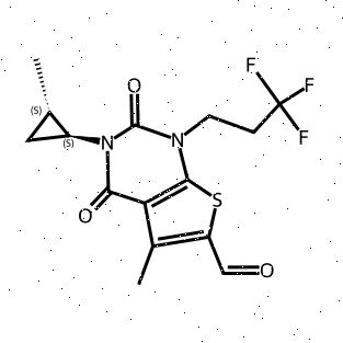 Cc1c(C=O)sc2c1c(=O)n([C@H]1C[C@@H]1C)c(=O)n2CCC(F)(F)F